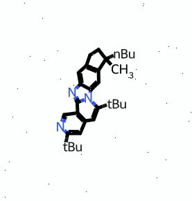 CCCCC1(C)CCc2cc3nc4c5cnc(C(C)(C)C)cc5cc(C(C)(C)C)n4c3cc21